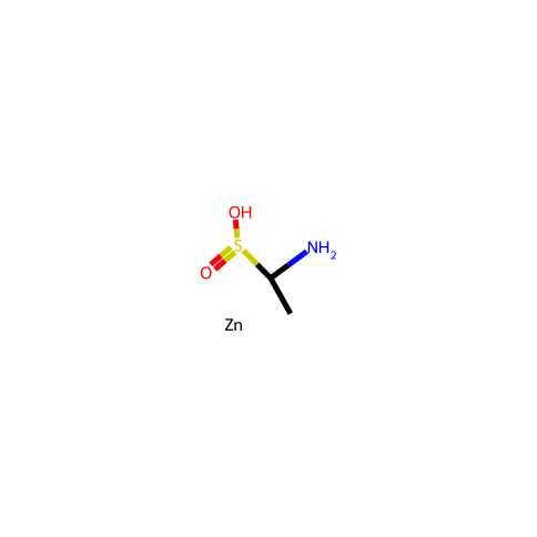 CC(N)S(=O)O.[Zn]